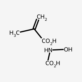 C=C(C)C(=O)O.O=C(O)NO